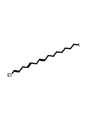 CC/C=C/C/C=C/C/C=C/CCCCCCCI